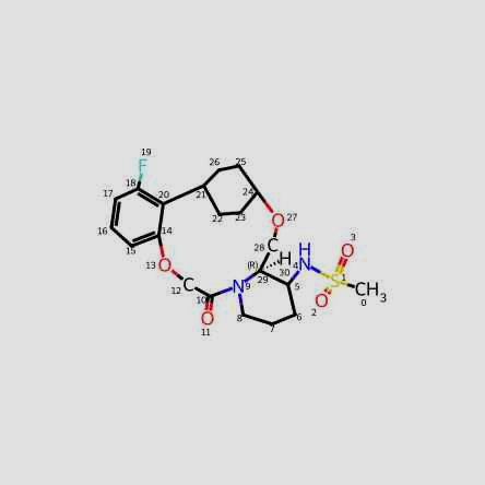 CS(=O)(=O)NC1CCCN2C(=O)COc3cccc(F)c3C3CCC(CC3)OC[C@@H]12